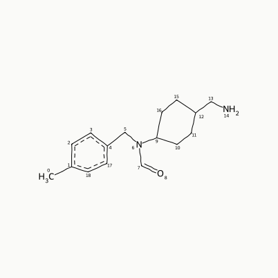 Cc1ccc(CN(C=O)C2CCC(CN)CC2)cc1